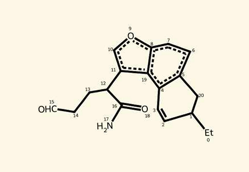 CCC1C=Cc2c(ccc3occ(C(CCC=O)C(N)=O)c23)C1